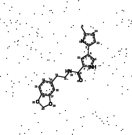 Cc1nc(-c2c[nH]c(C(=O)NCCc3ccc4c(c3)OCO4)c2)cs1